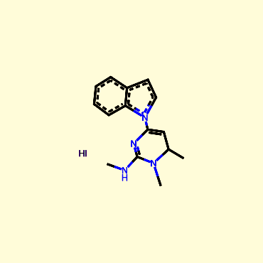 CNC1=NC(n2ccc3ccccc32)=CC(C)N1C.I